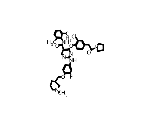 Cc1cccc(C)c1NC(=O)c1cnc(Nc2ccc(OCC3CCCN(C)C3)c(F)c2)nc1Oc1ccc(CC(=O)N2CCCC2)cc1Cl